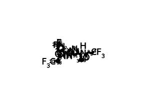 O=C(CCC(F)(F)F)NC(c1cnn2cc([C@@H](NC(=O)[C@@H]3C[C@H]3C(F)(F)F)C3CCC(F)(F)CC3)nc2c1)C1CC1